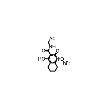 CCCOn1c2c(c(O)c(C(=O)NCC(C)=O)c1=O)CCCC2